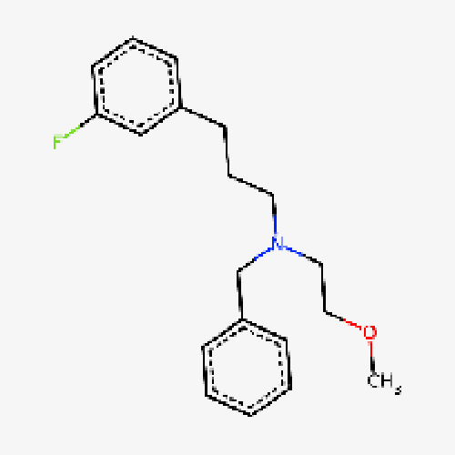 COCCN(CCCc1cccc(F)c1)Cc1ccccc1